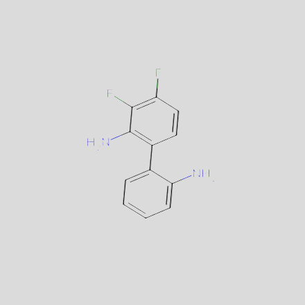 Nc1ccccc1-c1ccc(F)c(F)c1N